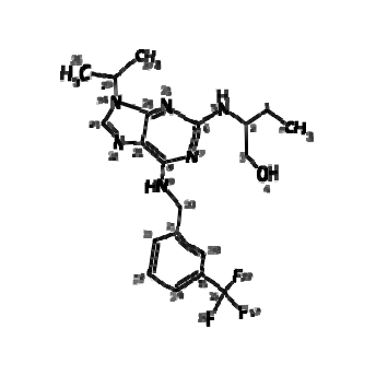 CCC(CO)Nc1nc(NCc2cccc(C(F)(F)F)c2)c2ncn(C(C)C)c2n1